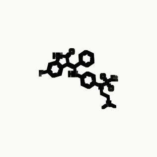 CCS(=O)(=O)N(CCN(C)C)c1ccc(NC(=C2C(=O)Nc3cc(F)ccc32)c2ccccc2)cc1